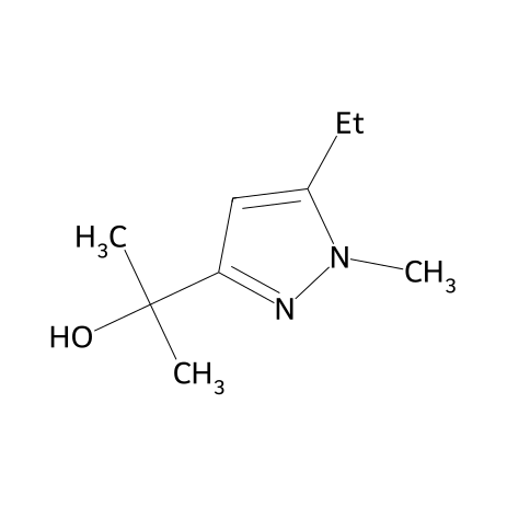 CCc1cc(C(C)(C)O)nn1C